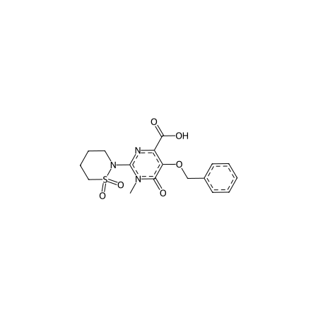 Cn1c(N2CCCCS2(=O)=O)nc(C(=O)O)c(OCc2ccccc2)c1=O